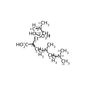 C=C(CC)C(=O)O.CN(C)C.CN(C)C.CN(C)C.O=S(=O)(O)O